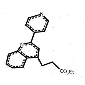 CCOC(=O)CCc1cc(-c2ccncc2)nc2ccccc12